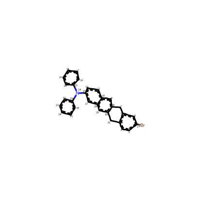 Brc1ccc2c(c1)Cc1cc3ccc(N(c4ccccc4)c4ccccc4)cc3cc1C2